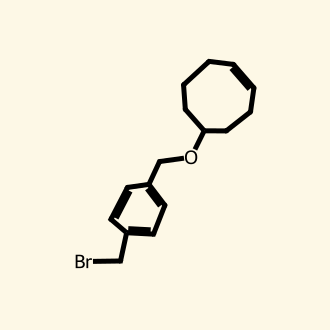 BrCc1ccc(COC2CCC=CCCC2)cc1